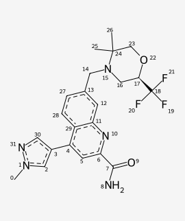 Cn1cc(-c2cc(C(N)=O)nc3cc(CN4C[C@H](C(F)(F)F)OCC4(C)C)ccc23)cn1